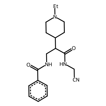 CCN1CCC(C(CNC(=O)c2ccccc2)C(=O)NCC#N)CC1